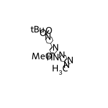 COc1cc(C2CCN(C(=O)OC(C)(C)C)CC2)ncc1Nc1cc2c(cn1)ncn2C